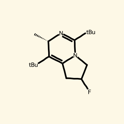 C[C@@H]1N=C(C(C)(C)C)N2CC(F)CC2=C1C(C)(C)C